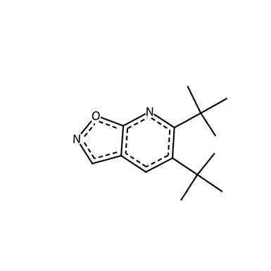 CC(C)(C)c1cc2cnoc2nc1C(C)(C)C